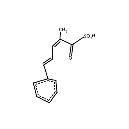 CC(=CC=Cc1ccccc1)C(=O)S(=O)(=O)O